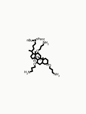 CCCCCN(CCCC)CCCC(C)C1CC[C@H]2C3[C@H](OCCCN)CC4C[C@H](OCCCN)CCC4(C)[C@H]3C[C@H](OCCCN)C12C